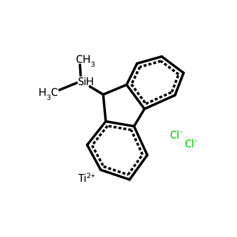 C[SiH](C)C1c2ccccc2-c2ccccc21.[Cl-].[Cl-].[Ti+2]